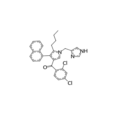 CCCCc1c(-c2cccc3ccccc23)c(C(=O)c2ccc(Cl)cc2Cl)cn1Cc1c[nH]cn1